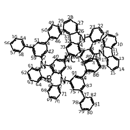 N#Cc1ccc(-n2c3ccccc3c3ccccc32)c(-c2ccccc2-n2c3ccccc3c3cc(-c4cc5c6c(c4)N(c4cc(-c7ccccc7)cc(-c7ccccc7)c4)c4ccccc4B6c4ccccc4N5c4cc(-c5ccccc5)cc(-c5ccccc5)c4)ccc32)c1